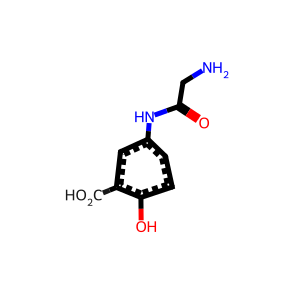 NCC(=O)Nc1ccc(O)c(C(=O)O)c1